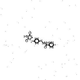 O=C1NC(=O)[C@@H](Cc2ccc(CCNC(=O)c3cccnc3)cc2)S1